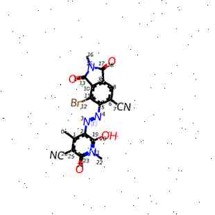 Cc1c(/N=N/c2c(C#N)cc3c(c2Br)C(=O)N(C)C3=O)c(O)n(C)c(=O)c1C#N